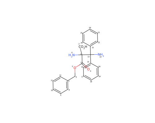 NC(C(=O)O)(C(=O)OCc1ccccc1)C(N)(c1ccccc1)c1ccccc1